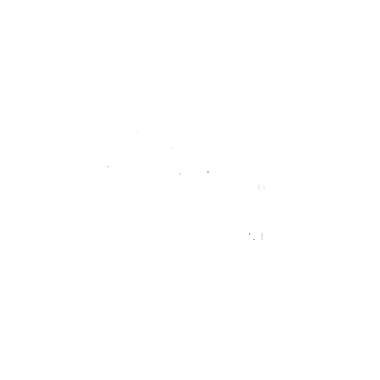 N=C(N)C[CH]c1ccncc1